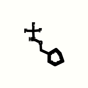 FC(F)(F)NOCc1ccccc1